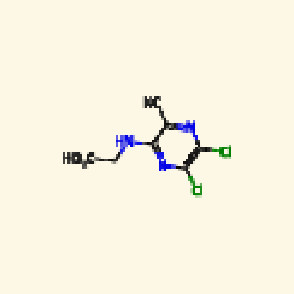 N#Cc1nc(Cl)c(Cl)nc1NCC(=O)O